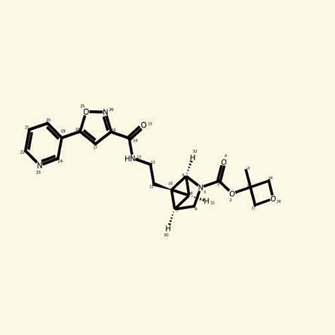 CC1(OC(=O)N2C[C@@H]3[C@@H]4[C@H]2[C@]43CCNC(=O)c2cc(-c3cccnc3)on2)COC1